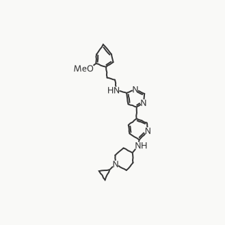 COc1ccccc1CCNc1cc(-c2ccc(NC3CCN(C4CC4)CC3)nc2)ncn1